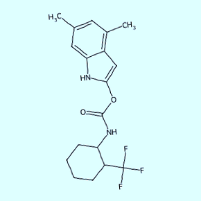 Cc1cc(C)c2cc(OC(=O)NC3CCCCC3C(F)(F)F)[nH]c2c1